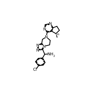 C[C@@H]1CCc2ncnc(N3CCn4c(nnc4C(N)c4ccc(Cl)cc4)C3)c21